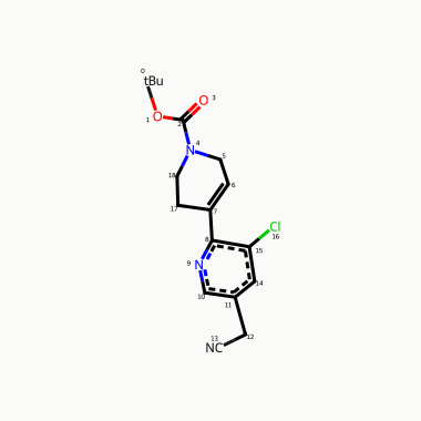 CC(C)(C)OC(=O)N1CC=C(c2ncc(CC#N)cc2Cl)CC1